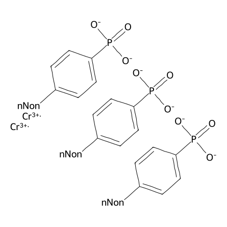 CCCCCCCCCc1ccc(P(=O)([O-])[O-])cc1.CCCCCCCCCc1ccc(P(=O)([O-])[O-])cc1.CCCCCCCCCc1ccc(P(=O)([O-])[O-])cc1.[Cr+3].[Cr+3]